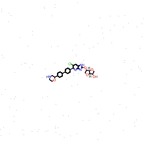 O[C@@H]1CO[C@H]2[C@@H]1OC[C@H]2Oc1nc2nc(-c3ccc(-c4ccc(C5CNCCO5)cc4)cc3)c(Cl)cc2[nH]1